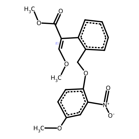 CO/C=C(/C(=O)OC)c1ccccc1COc1ccc(OC)cc1[N+](=O)[O-]